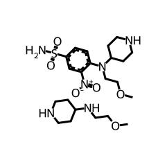 COCCN(c1ccc(S(N)(=O)=O)cc1[N+](=O)[O-])C1CCNCC1.COCCNC1CCNCC1